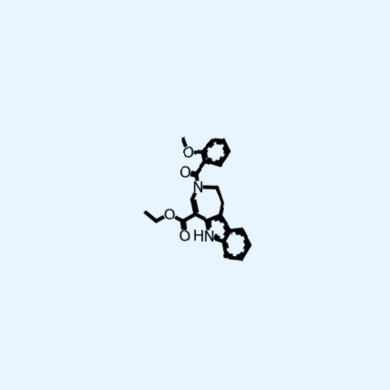 CCOC(=O)C1=CN(C(=O)c2ccccc2OC)CCc2c1[nH]c1ccccc21